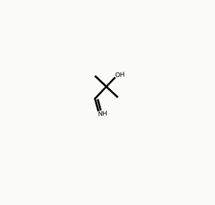 CC(C)(O)C=N